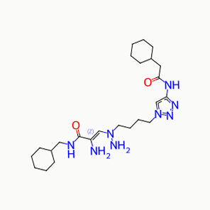 N/C(=C\N(N)CCCCn1cc(NC(=O)CC2CCCCC2)nn1)C(=O)NCC1CCCCC1